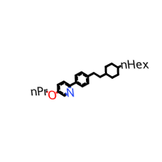 CCCCCCC1CCC(CCc2ccc(-c3ccc(OCCC)cn3)cc2)CC1